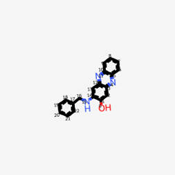 Oc1cc2nc3ccccc3nc2cc1NCc1ccccc1